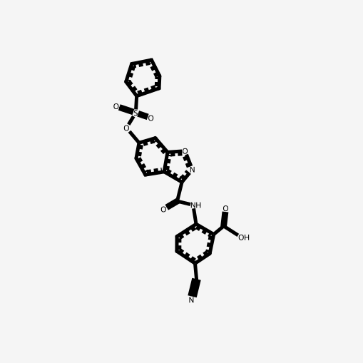 N#Cc1ccc(NC(=O)c2noc3cc(OS(=O)(=O)c4ccccc4)ccc23)c(C(=O)O)c1